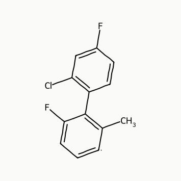 Cc1[c]ccc(F)c1-c1ccc(F)cc1Cl